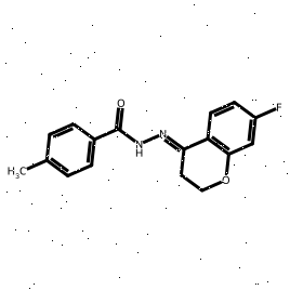 Cc1ccc(C(=O)NN=C2CCOc3cc(F)ccc32)cc1